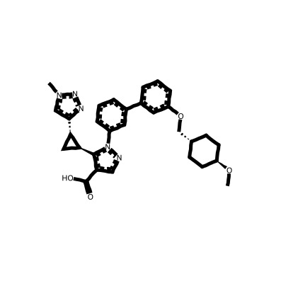 CO[C@H]1CC[C@H](COc2cccc(-c3cccc(-n4ncc(C(=O)O)c4[C@H]4C[C@@H]4c4cn(C)nn4)c3)c2)CC1